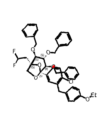 CCOc1ccc(Cc2cc([C@]34OC[C@](CC(F)F)(O3)[C@@H](OCc3ccccc3)[C@H](OCc3ccccc3)[C@H]4OCc3ccccc3)ccc2Cl)cc1